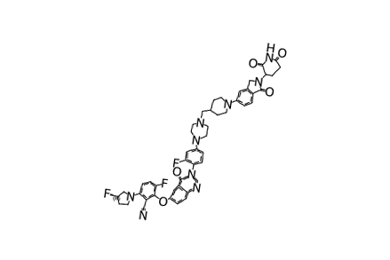 N#Cc1c(N2CC[C@@H](F)C2)ccc(F)c1Oc1ccc2ncn(-c3ccc(N4CCN(CC5CCN(c6ccc7c(c6)CN(C6CCC(=O)NC6=O)C7=O)CC5)CC4)cc3F)c(=O)c2c1